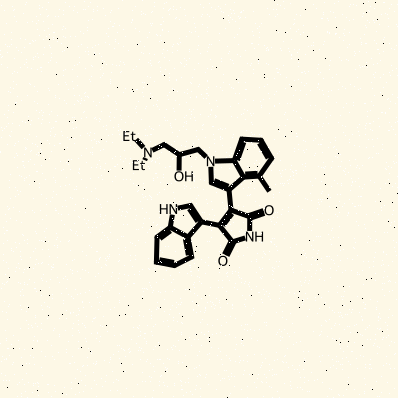 CCN(CC)CC(O)Cn1cc(C2=C(c3c[nH]c4ccccc34)C(=O)NC2=O)c2c(C)cccc21